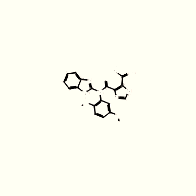 COc1ccc(OC)c(N(C(=O)c2nc[nH]c2C(N)=O)c2nc3ccccc3[nH]2)c1